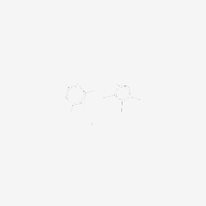 CCn1cnc(CSc2nc(C)cc(O)n2)c1C.Cl